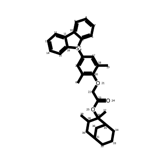 Cc1cc(-[s+]2c3ccccc3c3ccccc32)cc(C)c1OCC(=O)OC1(C)C(C)CC2CCCC1C2